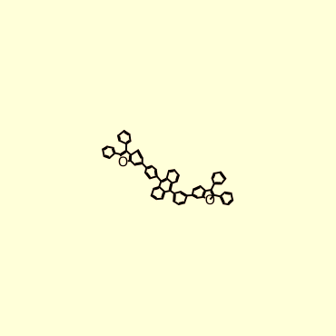 c1ccc(-c2oc3cc(-c4ccc(-c5c6ccccc6c(-c6cccc(-c7ccc8c(-c9ccccc9)c(-c9ccccc9)oc8c7)c6)c6ccccc56)cc4)ccc3c2-c2ccccc2)cc1